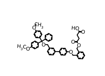 COc1ccc(C(OCc2cccc(-c3ccc(OCc4ccccc4COC(=O)CCC(=O)O)cc3)c2)(c2ccccc2)c2ccc(OC)cc2)cc1